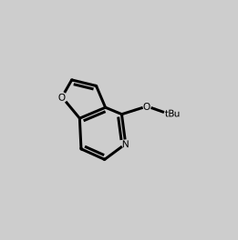 CC(C)(C)Oc1nccc2occc12